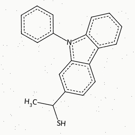 CC(S)c1ccc2c3ccccc3n(-c3ccccc3)c2c1